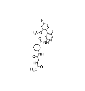 COc1cc(F)ccc1-c1cc(NC(=O)[C@H]2CCC[C@@H](NC(=O)CNC(C)=O)C2)ncc1F